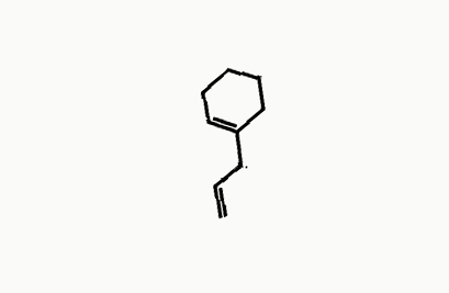 C=C[CH]C1=CCCCC1